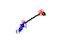 CCN1CCN(c2ccc(C(=O)NCCCCCCCCCCCCCCCOS(=O)(=O)c3ccc(C)cc3)cn2)CC1